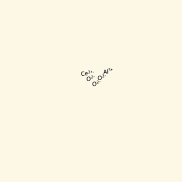 [Al+3].[Ce+3].[O-2].[O-2].[O-2]